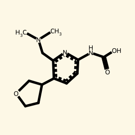 CN(C)Cc1nc(NC(=O)O)ccc1C1CCOC1